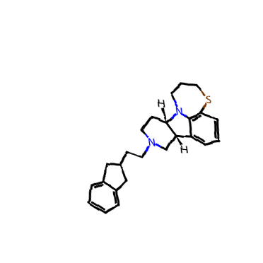 c1ccc2c(c1)CC(CCN1CC[C@H]3[C@@H](C1)c1cccc4c1N3CCCS4)C2